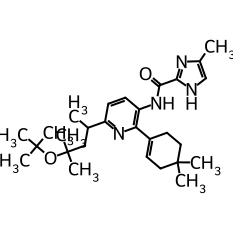 Cc1c[nH]c(C(=O)Nc2ccc(C(C)CC(C)(C)OC(C)(C)C)nc2C2=CCC(C)(C)CC2)n1